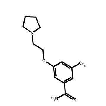 NC(=S)c1cc(OCCN2CCCC2)cc(C(F)(F)F)c1